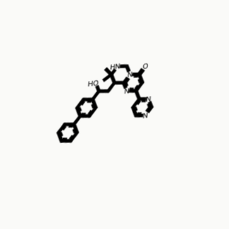 CC1(C)NCn2c(nc(-c3ccncn3)cc2=O)C1CC(O)c1ccc(-c2ccccc2)cc1